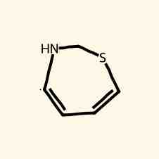 [C]1=CC=CSCN1